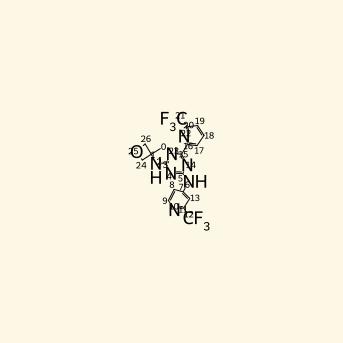 CC1(Nc2nc(Nc3ccnc(C(F)(F)F)c3)nc(-c3cccc(C(F)(F)F)n3)n2)COC1